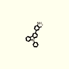 Cc1cc(-c2ccc3c(c2)c2ccccc2n3-c2ccccc2)ccc1N